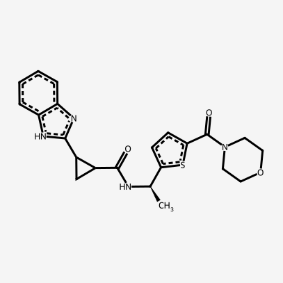 C[C@@H](NC(=O)C1CC1c1nc2ccccc2[nH]1)c1ccc(C(=O)N2CCOCC2)s1